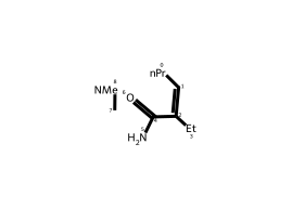 CCCC=C(CC)C(N)=O.CNC